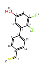 Oc1[c]c(F)c(F)c(-c2ccc(C=S)cc2)c1